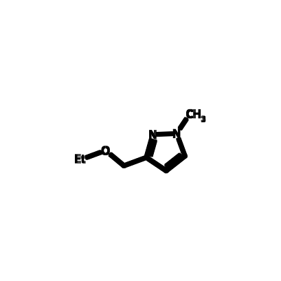 CCOCc1ccn(C)n1